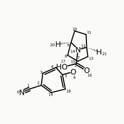 N#Cc1ccc(O[C@@H]2C[C@H]3CC[C@@H](C2)N3C(=O)O)cc1